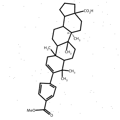 COC(=O)c1ccc(C2=CCC3(C)C(CCC4(C)C3CCC3C5CCCC5(C(=O)O)CC[C@]34C)C2(C)C)cc1